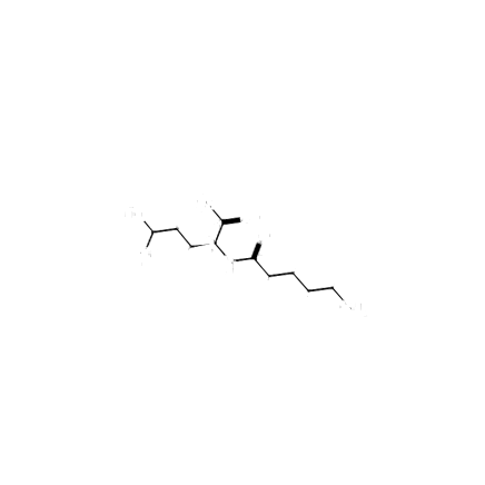 NCCCCC(=O)N[C@@H](CCC(O)O)C(N)=O